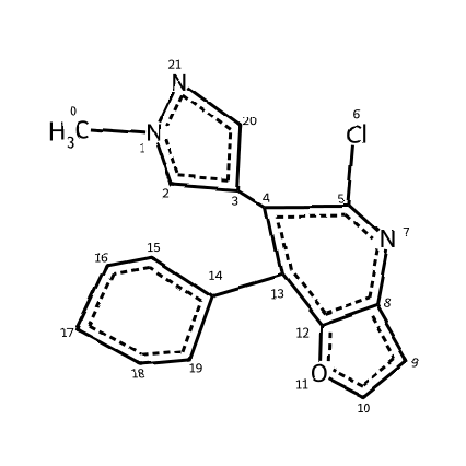 Cn1cc(-c2c(Cl)nc3ccoc3c2-c2ccccc2)cn1